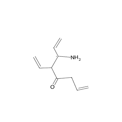 C=CCC(=O)C(C=C)[C](N)C=C